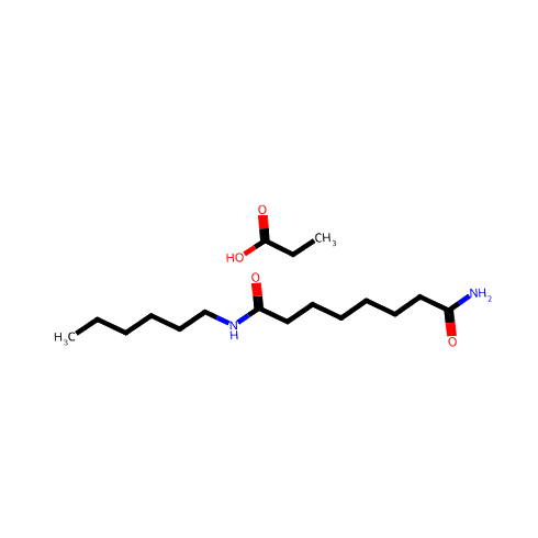 CCC(=O)O.CCCCCCNC(=O)CCCCCCC(N)=O